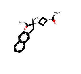 COC(=O)C(Cc1ccc2ccccc2c1)(C(=O)O)[C@H]1C[C@@H](C(=O)OC)C1